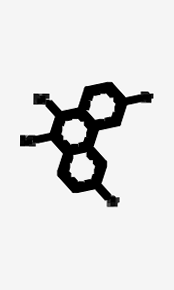 N#Cc1c(C#N)c2ccc(Br)cc2c2cc(Br)ccc12